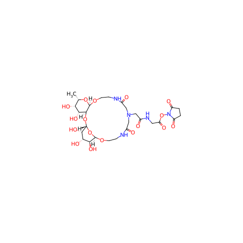 C[C@@H]1O[C@H]2OCCNC(=O)CN(CC(=O)NCC(=O)ON3C(=O)CCC3=O)CC(=O)NCCO[C@@H]3O[C@@H](O[C@H]2[C@H](O)[C@@H]1O)[C@@H](O)[C@@H](O)[C@@H]3O